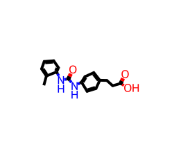 Cc1ccccc1NC(=O)Nc1ccc(CCC(=O)O)cc1